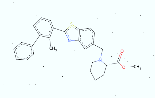 COC(=O)[C@@H]1CCCCN1Cc1ccc2sc(-c3cccc(-c4ccccc4)c3C)nc2c1